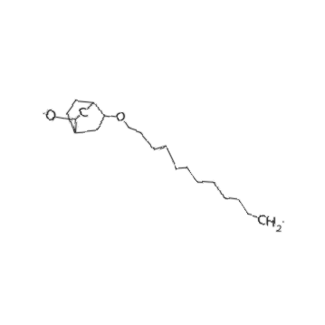 [CH2]CCCCCCCCCCCOC1CC2CCC1CC2[O]